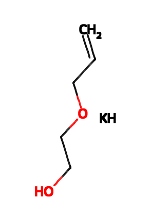 C=CCOCCO.[KH]